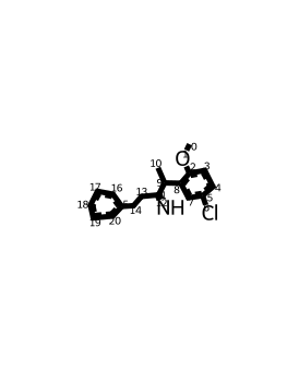 COc1ccc(Cl)cc1C(C)C(=N)CCc1ccccc1